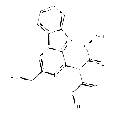 CC(=O)OCc1cn2c(nc3ccccc32)c(N(C(=O)OC(C)(C)C)C(=O)OC(C)(C)C)n1